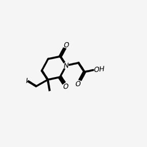 CC1(CI)CCC(=O)N(CC(=O)O)C1=O